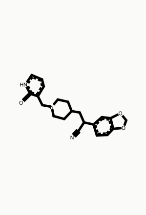 N#CC(CC1CCN(Cc2ccc[nH]c2=O)CC1)c1ccc2c(c1)OCO2